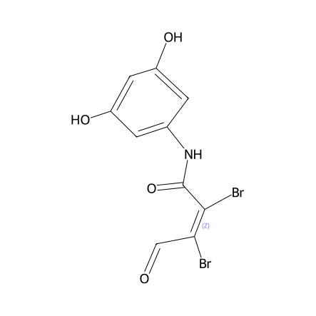 O=C/C(Br)=C(/Br)C(=O)Nc1cc(O)cc(O)c1